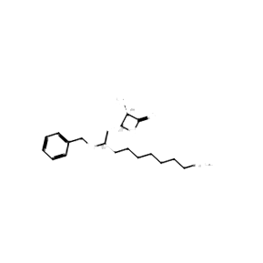 CCCCCCCCCCCCCCCCC[C@H](C[C@H]1OC(=O)[C@@H]1CC)OCc1ccccc1